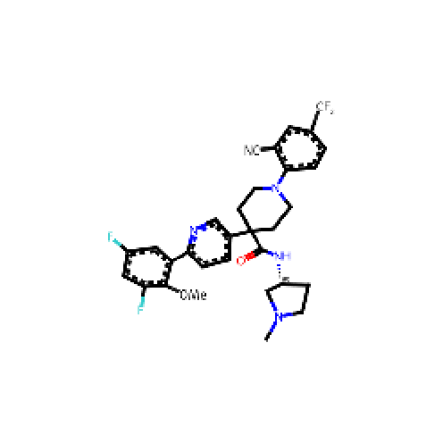 COc1c(F)cc(F)cc1-c1ccc(C2(C(=O)N[C@@H]3CCN(C)C3)CCN(c3ccc(C(F)(F)F)cc3C#N)CC2)cn1